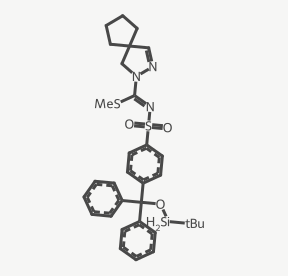 CSC(=NS(=O)(=O)c1ccc(C(O[SiH2]C(C)(C)C)(c2ccccc2)c2ccccc2)cc1)N1CC2(C=N1)CCCC2